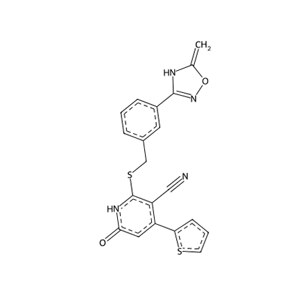 C=C1NC(c2cccc(CSc3[nH]c(=O)cc(-c4cccs4)c3C#N)c2)=NO1